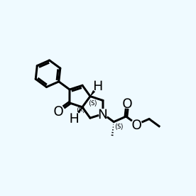 CCOC(=O)[C@H](C)N1C[C@H]2C=C(c3ccccc3)C(=O)[C@H]2C1